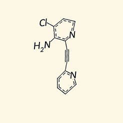 Nc1c(Cl)ccnc1C#Cc1ccccn1